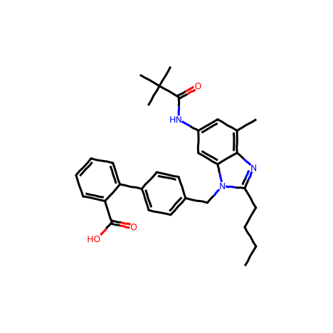 CCCCc1nc2c(C)cc(NC(=O)C(C)(C)C)cc2n1Cc1ccc(-c2ccccc2C(=O)O)cc1